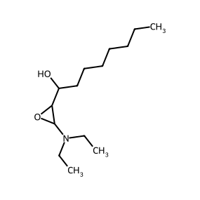 CCCCCCCC(O)C1OC1N(CC)CC